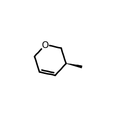 C[C@H]1C=CCOC1